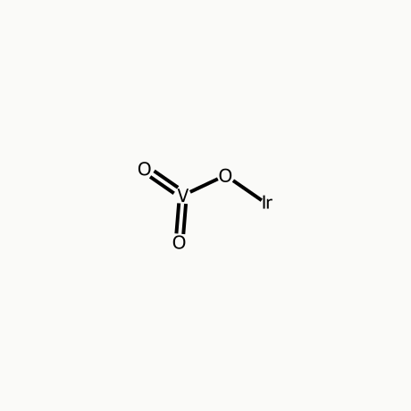 [O]=[V](=[O])[O][Ir]